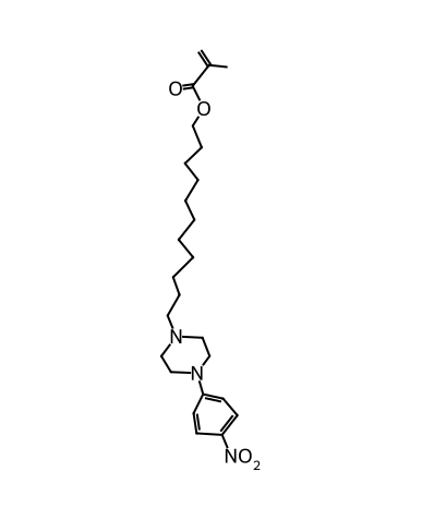 C=C(C)C(=O)OCCCCCCCCCCCN1CCN(c2ccc([N+](=O)[O-])cc2)CC1